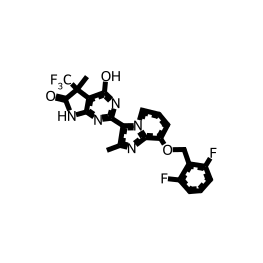 Cc1nc2c(OCc3c(F)cccc3F)cccn2c1-c1nc(O)c2c(n1)NC(=O)C2(C)C(F)(F)F